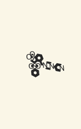 O=S1(=O)CC(S(=O)(=O)c2ccccc2)c2c(CN3CCN(c4ccncc4)CC3)cccc21